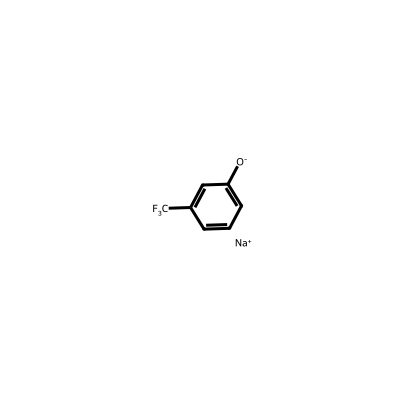 [Na+].[O-]c1cccc(C(F)(F)F)c1